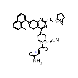 Cc1cccc2cccc(N3CCc4c(nc(OC[C@@H]5CCCN5C)nc4N4CCN(C(=O)/C=C/C(N)=O)[C@@H](CC#N)C4)C3)c12